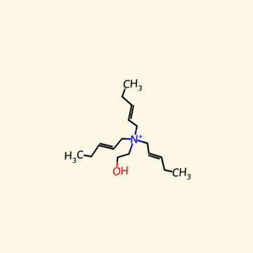 CCC=CC[N+](CC=CCC)(CC=CCC)CCO